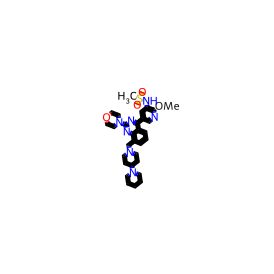 COc1ncc(-c2nc(N3CCOCC3)nc3c(CN4CCC(N5CCCCC5)CC4)cccc23)cc1NS(C)(=O)=O